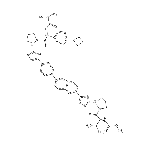 COC(=O)N[C@H](C(=O)N1CCC[C@H]1c1ncc(-c2ccc3cc(-c4ccc(-c5cnc([C@@H]6CCCN6C(=O)[C@H](OC(=O)N(C)C)c6ccc(C7CCC7)cc6)[nH]5)cc4)ccc3c2)[nH]1)C(C)C